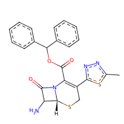 Cc1nnc(C2=C(C(=O)OC(c3ccccc3)c3ccccc3)N3C(=O)C(N)[C@H]3SC2)s1